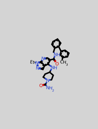 CCn1ncc2c(NC3CCN(C(N)=O)CC3)c(C(=O)NCc3ccccc3-c3cccc(C)c3)cnc21